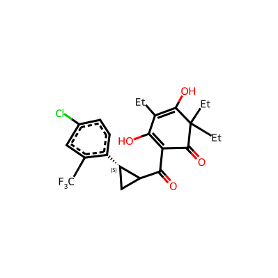 CCC1=C(O)C(CC)(CC)C(=O)C(C(=O)C2C[C@@H]2c2ccc(Cl)cc2C(F)(F)F)=C1O